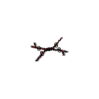 CCCCCCCCCCCOC(=O)CCCCCN(CCCCCCCC(=O)OCCCC(CCCCC)CCCCC)CCN1CCN(CCN(CCCCCCCC(=O)OCCCC(CCCCC)CCCCC)CCCCCC(=O)OCCCCCCCCCCC)CC1